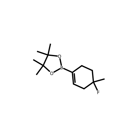 CC1(F)CC=C(B2OC(C)(C)C(C)(C)O2)CC1